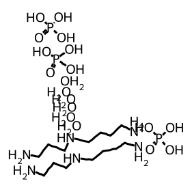 NCCCCNCCCN.NCCCCNCCCN.O.O.O.O.O.O.O=P(O)(O)O.O=P(O)(O)O.O=P(O)(O)O